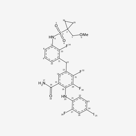 COCC1(S(=O)(=O)Nc2cccc(Cc3cc(C(N)=O)c(Nc4ccc(I)cc4F)c(F)c3F)c2F)CC1